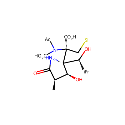 CC(=O)N(C(=O)O)[C@](CS)(C(=O)O)[C@]1([C@@H](O)C(C)C)NC(=O)[C@H](C)[C@@H]1O